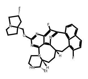 CC[C@@H]1NCCN2c3nc(OC[C@@]45CCCN4C[C@H](F)C5)nc4c(F)c5nc(c34)[C@@H](CC[C@H]12)Cc1c(F)ccc2cccc-5c12